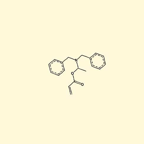 C=CC(=O)OC(C)N(Cc1ccccc1)Cc1ccccc1